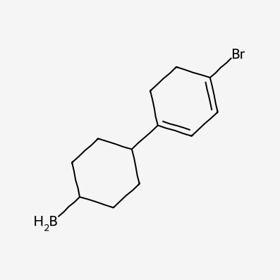 BC1CCC(C2=CC=C(Br)CC2)CC1